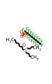 CCCCCC(=O)C[S+](CCCC)CCCC.O=S(=O)([O-])C(F)(F)C(F)(F)C(F)(F)C(F)(F)C(F)(F)C(F)(F)C(F)(F)C(F)(F)F